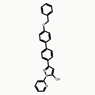 Oc1cc(-c2ccc(-c3ccc(OCc4ccccc4)cc3)cc2)nn1-c1ccccn1